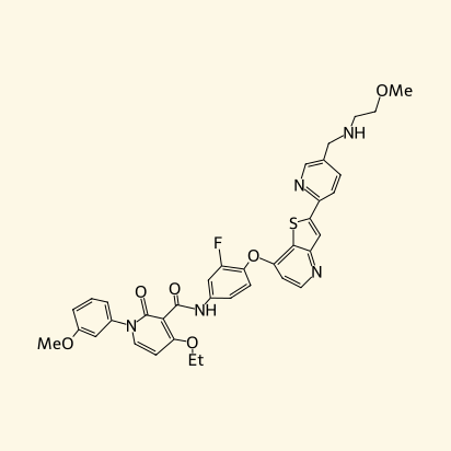 CCOc1ccn(-c2cccc(OC)c2)c(=O)c1C(=O)Nc1ccc(Oc2ccnc3cc(-c4ccc(CNCCOC)cn4)sc23)c(F)c1